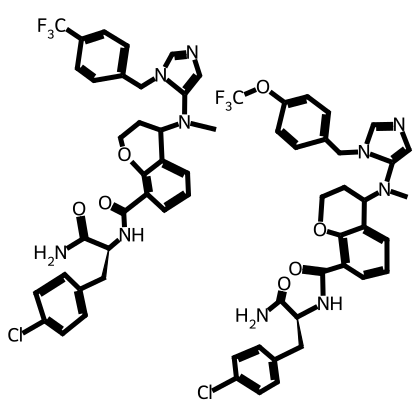 CN(c1cncn1Cc1ccc(C(F)(F)F)cc1)C1CCOc2c(C(=O)N[C@@H](Cc3ccc(Cl)cc3)C(N)=O)cccc21.CN(c1cncn1Cc1ccc(OC(F)(F)F)cc1)C1CCOc2c(C(=O)N[C@@H](Cc3ccc(Cl)cc3)C(N)=O)cccc21